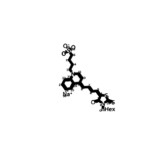 CCCCCCN1C(=O)\C(=C/C=C/C=C2\C=CN(CCCCS(=O)(=O)[O-])c3ccccc32)SC1=S.[Na+]